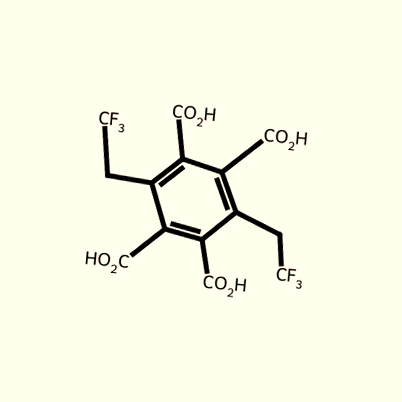 O=C(O)c1c(CC(F)(F)F)c(C(=O)O)c(C(=O)O)c(CC(F)(F)F)c1C(=O)O